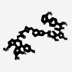 Cc1ccsc1-c1ccc(C(C)NC(=O)[C@@H]2C[C@@H](O)CN2C(=O)[C@@H](NC(=O)c2cc3ccc(OC4CC(NC(=O)C[C@@H]5N=C(c6ccc(Cl)cc6)c6c(sc(C)c6C)-n6c(C)nnc65)C4)cc3o2)C(C)(C)C)cc1